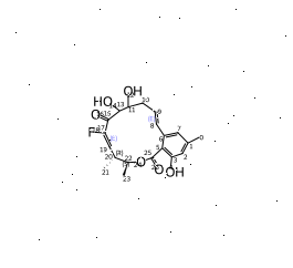 Cc1cc(O)c2c(c1)/C=C/CC(O)C(O)C(=O)/C(F)=C\[C@@H](C)[C@H](C)OC2=O